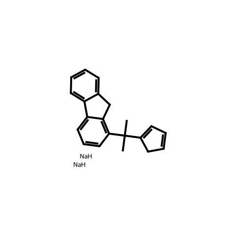 CC(C)(C1=CC=CC1)c1cccc2c1Cc1ccccc1-2.[NaH].[NaH]